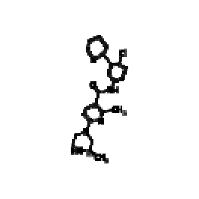 Cc1nc(N2CCN[C@H](C)C2)ccc1C(=O)Nc1ccc(Cl)c(-c2ccccn2)c1